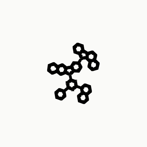 c1ccc(-c2nc(-c3cccc4ccccc34)nc(-n3c4ccc(-n5c6ccccc6c6ccc7ccccc7c65)cc4c4cc5ccccc5cc43)n2)cc1